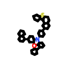 c1ccc2c(-c3ccc(N(c4ccc(-c5ccc6ccc7sc8ccccc8c7c6c5)cc4)c4cccc5c4oc4ccccc45)cc3)cccc2c1